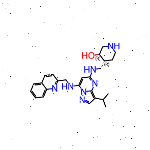 CC(C)c1cnn2c(NCc3ccc4ccccc4n3)cc(NC[C@H]3CCNC[C@@H]3O)nc12